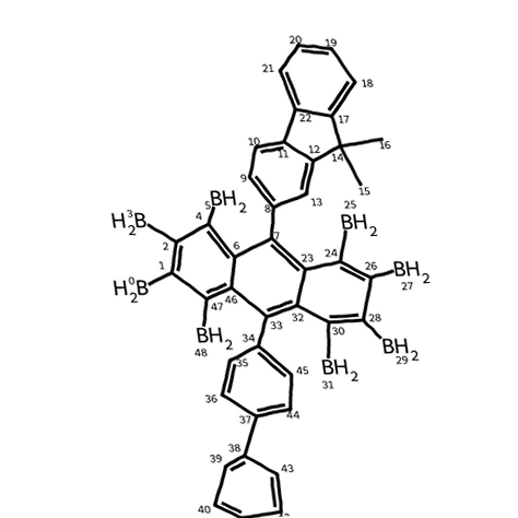 Bc1c(B)c(B)c2c(-c3ccc4c(c3)C(C)(C)c3ccccc3-4)c3c(B)c(B)c(B)c(B)c3c(-c3ccc(-c4ccccc4)cc3)c2c1B